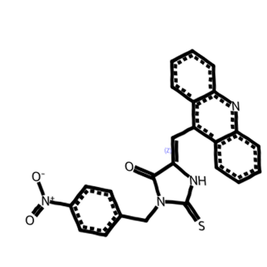 O=C1/C(=C/c2c3ccccc3nc3ccccc23)NC(=S)N1Cc1ccc([N+](=O)[O-])cc1